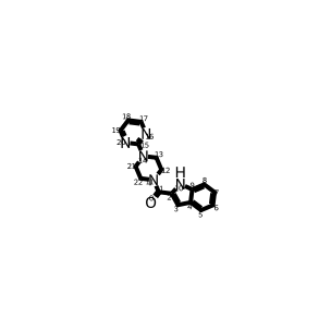 O=C(c1cc2ccccc2[nH]1)N1CCN(c2ncccn2)CC1